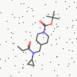 CCC(=O)N(CC1CCN(C(=O)OC(C)(C)C)CC1)C1CC1